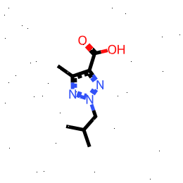 Cc1nn(CC(C)C)nc1C(=O)O